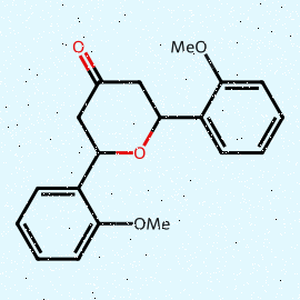 COc1ccccc1C1CC(=O)CC(c2ccccc2OC)O1